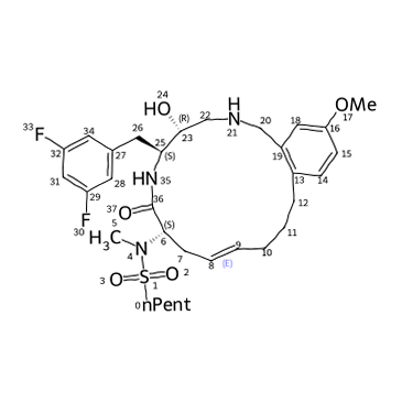 CCCCCS(=O)(=O)N(C)[C@H]1C/C=C/CCCc2ccc(OC)cc2CNC[C@@H](O)[C@H](Cc2cc(F)cc(F)c2)NC1=O